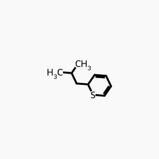 CC(C)CC1C=CC=CS1